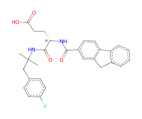 CC(C)(Cc1ccc(F)cc1)NC(=O)[C@H](CCC(=O)O)NC(=O)c1ccc2c(c1)Cc1ccccc1-2